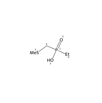 CCP(=O)(O)CSC